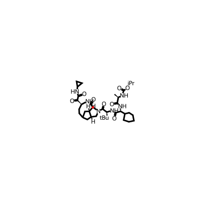 CC(C)OC(=O)N[C@H](C)C(=O)N[C@H](C(=O)N[C@H](C(=O)N1C[C@@H]2CC3CC[C@@H](C(=O)C(=O)NC4CC4)NC(=O)[C@@H]1[C@H]2C3)C(C)(C)C)C1CCCCC1